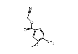 COc1cc(C(=O)OCC#N)ccc1N